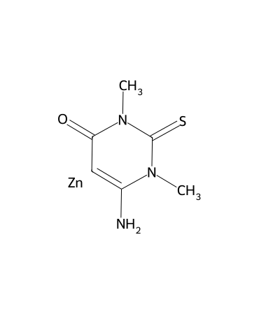 Cn1c(N)cc(=O)n(C)c1=S.[Zn]